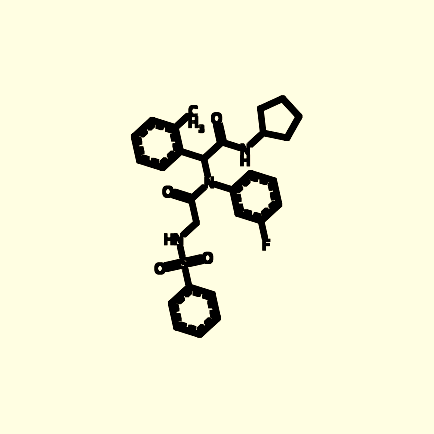 Cc1ccccc1C(C(=O)NC1CCCC1)N(C(=O)CNS(=O)(=O)c1ccccc1)c1cccc(F)c1